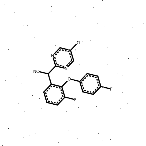 N#CC(c1ncc(Cl)cn1)c1cccc(F)c1Oc1ccc(F)cc1